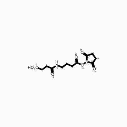 O=C(O)CCC(=O)NCCCC(=O)ON1C(=O)CCC1=O